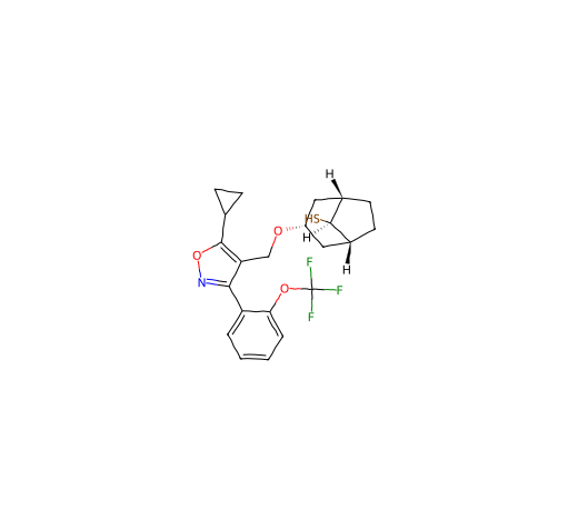 FC(F)(F)Oc1ccccc1-c1noc(C2CC2)c1CO[C@H]1C[C@H]2CC[C@@H](C1)[C@@H]2S